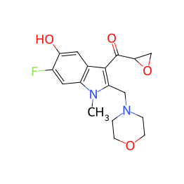 Cn1c(CN2CCOCC2)c(C(=O)C2CO2)c2cc(O)c(F)cc21